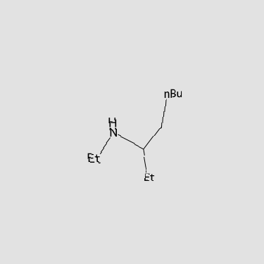 CCCCCC(CC)NCC